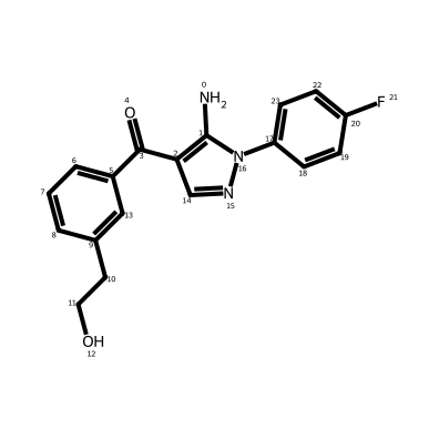 Nc1c(C(=O)c2cccc(CCO)c2)cnn1-c1ccc(F)cc1